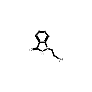 O=c1[nH]n(CCO)c2ccccc12